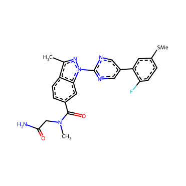 CSc1ccc(F)c(-c2cnc(-n3nc(C)c4ccc(C(=O)N(C)CC(N)=O)cc43)nc2)c1